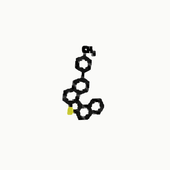 Cc1ccc(-c2ccc3c(ccc4sc5ccc6ccccc6c5c43)c2)cc1